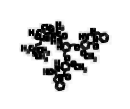 COc1cc2c(cc1OCc1cc(COc3cc4c(cc3OC)C(=O)N3c5ccccc5C[C@H]3CN4)cc(NC(=O)[C@H](C)NC(=O)C(NC(=O)CCC(C)(C)SC)C(C)C)c1)N[C@H](O)C1Cc3ccccc3N1C2=O